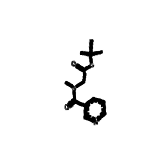 CN(CC(=O)OC(C)(C)C)C(=O)c1cccnc1